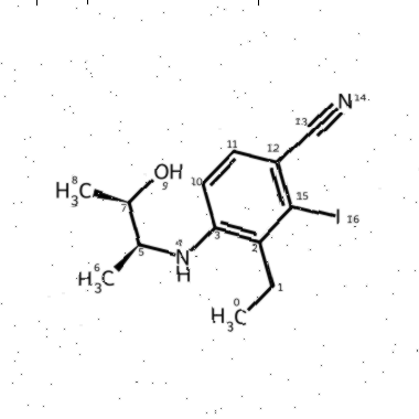 CCc1c(N[C@@H](C)[C@@H](C)O)ccc(C#N)c1I